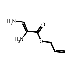 C=CCOC(=O)C(N)=CN